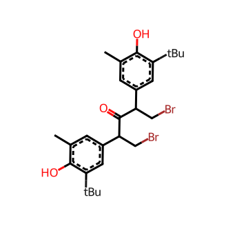 Cc1cc(C(CBr)C(=O)C(CBr)c2cc(C)c(O)c(C(C)(C)C)c2)cc(C(C)(C)C)c1O